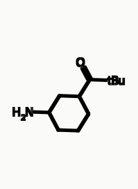 CC(C)(C)C(=O)C1CCCC(N)C1